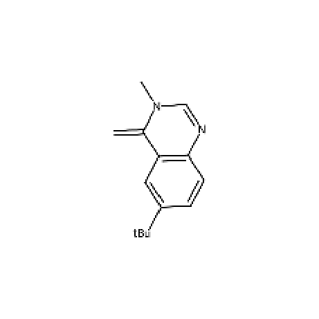 C=C1c2cc(C(C)(C)C)ccc2N=CN1C